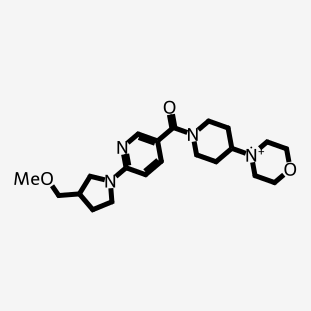 COCC1CCN(c2ccc(C(=O)N3CCC([N+]4CCOCC4)CC3)cn2)C1